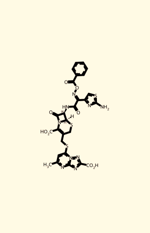 Cc1cc(SCC2=C(C(=O)O)N3C(=O)[C@@H](NC(=O)C(=NOC(=O)c4ccccc4)c4csc(N)n4)[C@H]3SC2)n2nc(C(=O)O)nc2n1